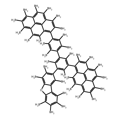 Bc1c(B)c(-c2c(B)c(B)c3c(B)c(B)c4c(B)c(B)c(B)c5c(B)c(B)c2c3c45)c(B)c(B)c1-c1c(B)c(-c2c(B)c(B)c3oc4c(B)c(B)c(B)c(B)c4c3c2B)c(B)c(-c2c(B)c(B)c3c(B)c(B)c4c(B)c(B)c(B)c5c(B)c(B)c2c3c45)c1B